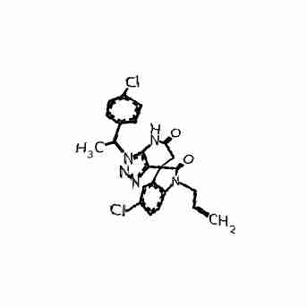 C=CCN1C(=O)[C@]2(CC(=O)Nc3c2nnn3C(C)c2ccc(Cl)cc2)c2cc(Cl)ccc21